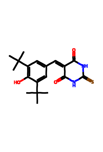 CC(C)(C)c1cc(C=C2C(=O)NC(=S)NC2=O)cc(C(C)(C)C)c1O